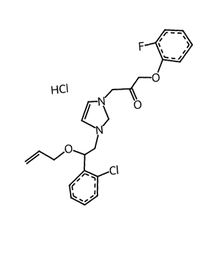 C=CCOC(CN1C=CN(CC(=O)COc2ccccc2F)C1)c1ccccc1Cl.Cl